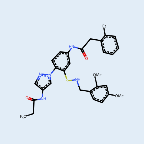 CCc1ccccc1CC(=O)Nc1ccc(-n2cc(NC(=O)CC(F)(F)F)cn2)c(SNCc2ccc(OC)cc2OC)c1